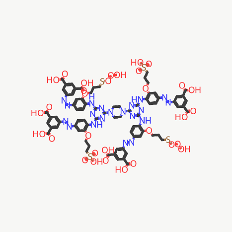 O=C(O)c1cc(N=Nc2ccc(Nc3nc(Nc4ccc(N=Nc5cc(C(=O)O)cc(C(=O)O)c5)cc4OCCCS(=O)(=O)O)nc(N4CCN(c5nc(Nc6ccc(N=Nc7cc(C(=O)O)cc(C(=O)O)c7)cc6OCCCSOOO)nc(Nc6ccc(N=Nc7cc(C(=O)O)cc(C(=O)O)c7)cc6OCCCS(=O)(=O)O)n5)CC4)n3)c(OCCCSOOO)c2)cc(C(=O)O)c1